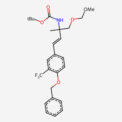 COCOCC(C)(C=Cc1ccc(OCc2ccccc2)c(C(F)(F)F)c1)NC(=O)OC(C)(C)C